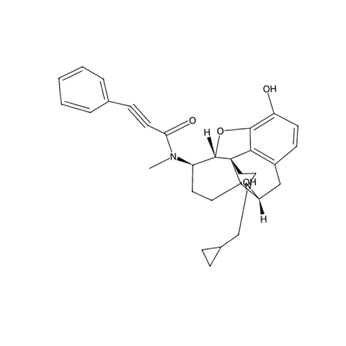 CN(C(=O)C#Cc1ccccc1)[C@@H]1CC[C@@]2(O)[C@H]3Cc4ccc(O)c5c4[C@@]2(CCN3CC2CC2)[C@H]1O5